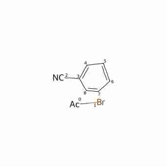 CC(=O)Br.N#Cc1ccccc1